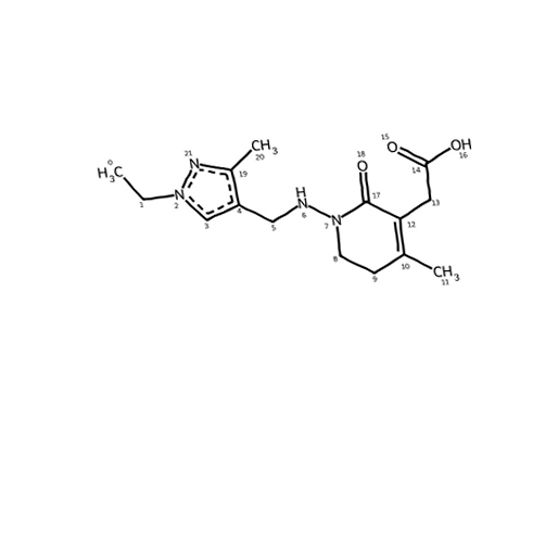 CCn1cc(CNN2CCC(C)=C(CC(=O)O)C2=O)c(C)n1